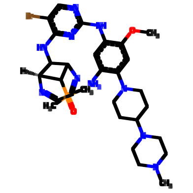 COc1cc(N2CCC(N3CCN(C)CC3)CC2)c(N)cc1Nc1ncc(Br)c(NC2C3N=CC=N[C@@H]2C3P(C)(C)=O)n1